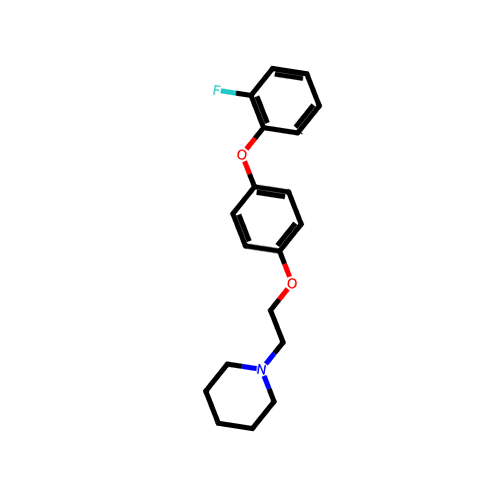 Fc1ccc[c]c1Oc1ccc(OCCN2CCCCC2)cc1